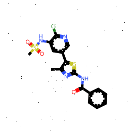 Cc1nc(NC(=O)c2ccccc2)sc1-c1cnc(Cl)c(NS(C)(=O)=O)c1